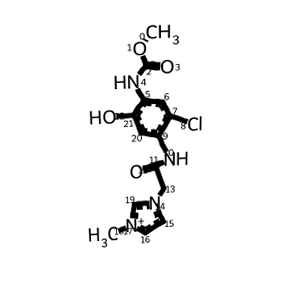 COC(=O)Nc1cc(Cl)c(NC(=O)Cn2cc[n+](C)c2)cc1O